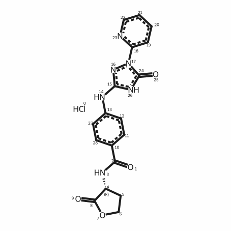 Cl.O=C(N[C@@H]1CCOC1=O)c1ccc(Nc2nn(-c3ccccn3)c(=O)[nH]2)cc1